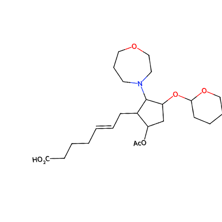 CC(=O)OC1CC(OC2CCCCO2)C(N2CCCOCC2)C1CC=CCCCC(=O)O